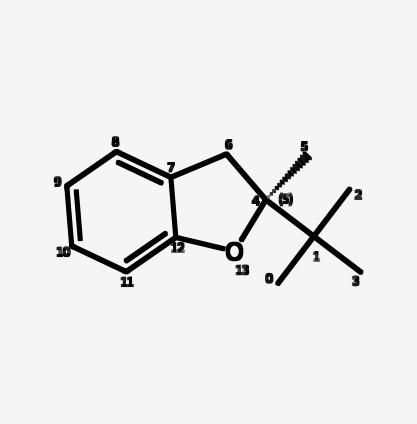 CC(C)(C)[C@]1(C)Cc2ccccc2O1